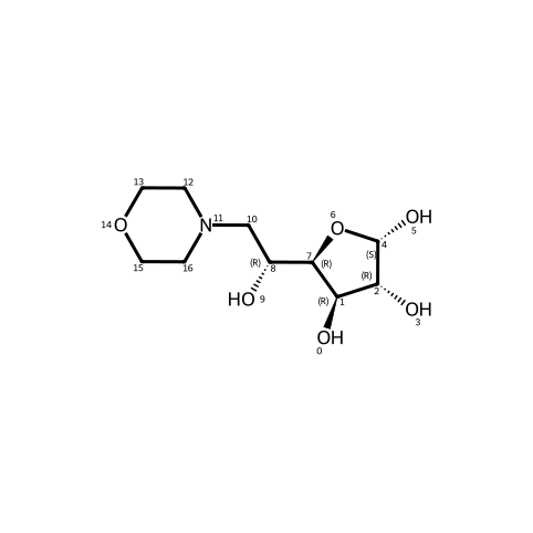 O[C@@H]1[C@@H](O)[C@@H](O)O[C@@H]1[C@H](O)CN1CCOCC1